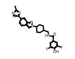 Cc1nnc(-c2ccc3cn(C4CCC(CNC(=O)c5cc(F)c(O)c(F)c5)CC4)nc3c2)s1